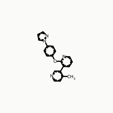 Cc1ccncc1-c1cccnc1Oc1ccc(-n2cccn2)cc1